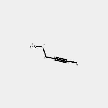 CC#CCSS